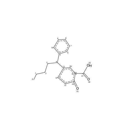 CCCCC(c1ccccc1)c1ccc(=O)n(C(=O)O)c1